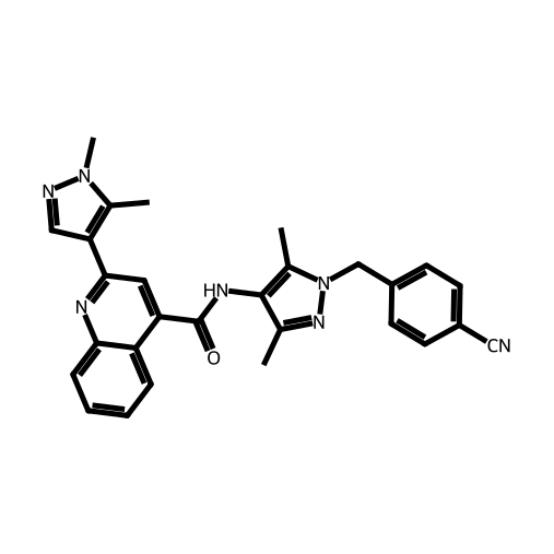 Cc1nn(Cc2ccc(C#N)cc2)c(C)c1NC(=O)c1cc(-c2cnn(C)c2C)nc2ccccc12